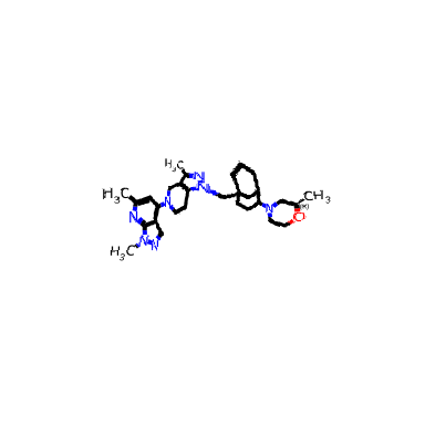 Cc1cc(N2CCc3c(c(C)nn3CC34CCCC(C3)C(N3CCO[C@H](C)C3)CC4)C2)c2cnn(C)c2n1